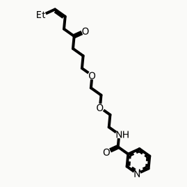 CC/C=C\CC(=O)CCCOCCOCCNC(=O)c1cccnc1